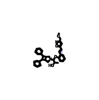 COCc1cc(/C=C/c2ccccc2OC(C(C)O)N2CC3C(C2)C(c2ccccc2)C3c2ccccc2)on1